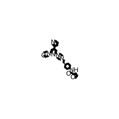 O=C(N[C@H]1CC[C@H](CCN2CCN(c3cc(-c4cccnc4)cc(N4CCOCC4)n3)CC2)CC1)c1ccco1